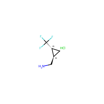 Cl.NC[C@@H]1C[C@H]1C(F)(F)F